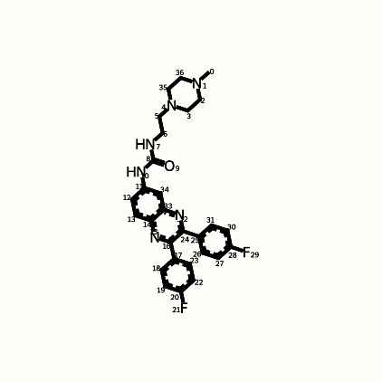 CN1CCN(CCNC(=O)Nc2ccc3nc(-c4ccc(F)cc4)c(-c4ccc(F)cc4)nc3c2)CC1